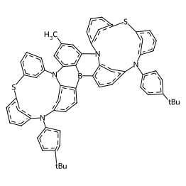 Cc1cc2c3c(c1)N1c4cccc(c4)Sc4cccc(c4)N(c4ccc(C(C)(C)C)cc4)c4ccc(c1c4)B3c1ccc3cc1N2c1cccc(c1)Sc1cccc(c1)N3c1ccc(C(C)(C)C)cc1